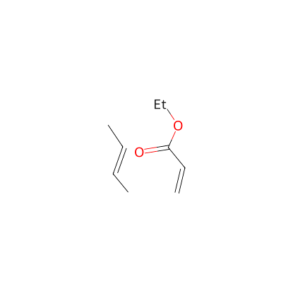 C=CC(=O)OCC.CC=CC